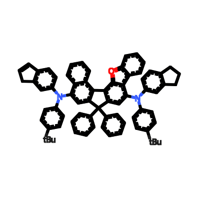 CC(C)(C)c1ccc(N(c2ccc3c(c2)CC=C3)c2cc3c(c4ccccc24)-c2c(cc(N(c4ccc(C(C)(C)C)cc4)c4ccc5c(c4)CCC5)c4c2oc2ccccc24)C3(c2ccccc2)c2ccccc2)cc1